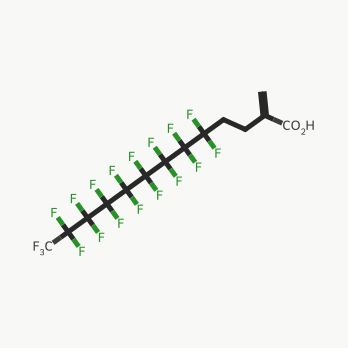 C=C(CCC(F)(F)C(F)(F)C(F)(F)C(F)(F)C(F)(F)C(F)(F)C(F)(F)C(F)(F)C(F)(F)F)C(=O)O